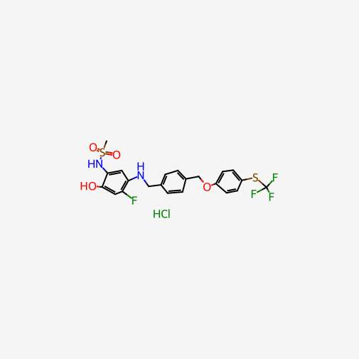 CS(=O)(=O)Nc1cc(NCc2ccc(COc3ccc(SC(F)(F)F)cc3)cc2)c(F)cc1O.Cl